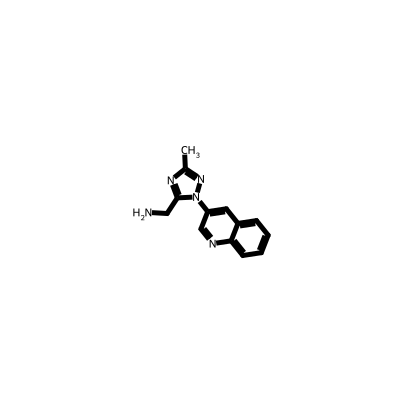 Cc1nc(CN)n(-c2cnc3ccccc3c2)n1